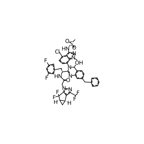 Cn1nc(NS(C)(=O)=O)c2c(Cl)ccc(N3C([C@H](Cc4cc(F)cc(F)c4)NC(=O)Cn4nc(C(F)F)c5c4C(F)(F)[C@@H]4C[C@H]54)=Nc4cc(Cc5ccccc5)ccc4C3O)c21